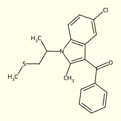 CSCC(C)n1c(C)c(C(=O)c2ccccc2)c2cc(Cl)ccc21